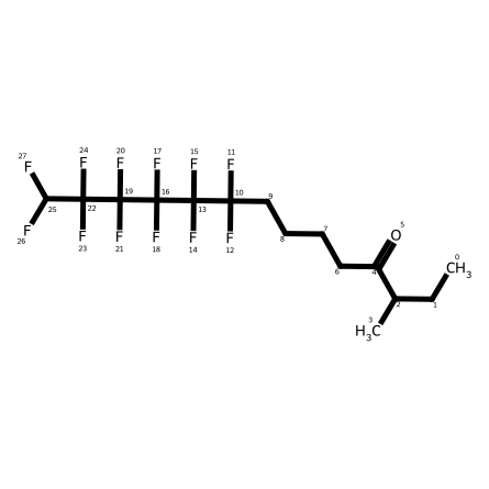 CCC(C)C(=O)CCCCC(F)(F)C(F)(F)C(F)(F)C(F)(F)C(F)(F)C(F)F